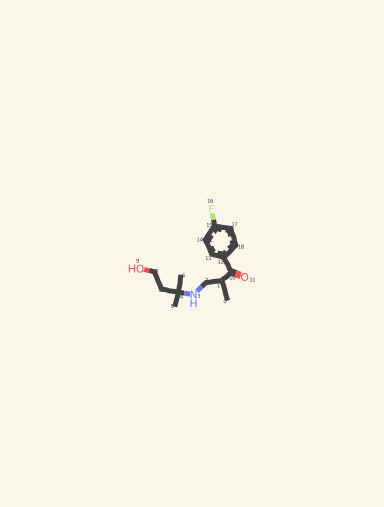 CC(CNC(C)(C)CCO)C(=O)c1ccc(F)cc1